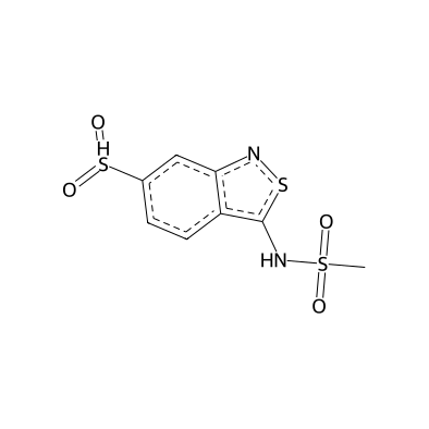 CS(=O)(=O)Nc1snc2cc([SH](=O)=O)ccc12